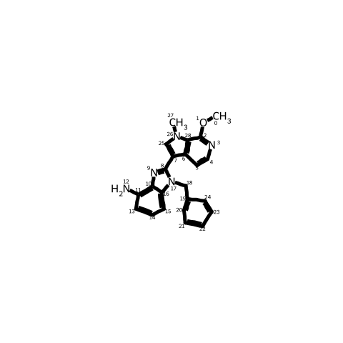 COc1nccc2c(-c3nc4c(N)cccc4n3Cc3ccccc3)cn(C)c12